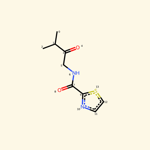 CC(C)C(=O)CNC(=O)c1nccs1